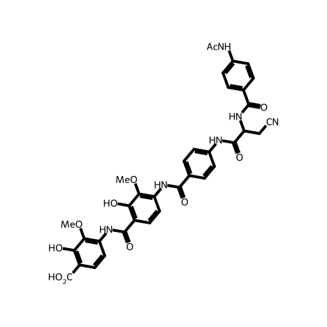 COc1c(NC(=O)c2ccc(NC(=O)c3ccc(NC(=O)C(CC#N)NC(=O)c4ccc(NC(C)=O)cc4)cc3)c(OC)c2O)ccc(C(=O)O)c1O